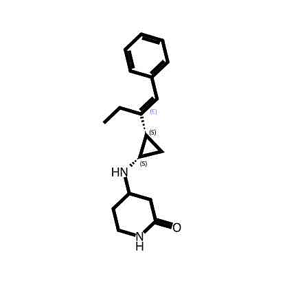 CC/C(=C\c1ccccc1)[C@@H]1C[C@@H]1NC1CCNC(=O)C1